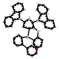 c1ccc(-c2ccccc2B2c3ccccc3Oc3c2cc(-n2c4ccccc4c4ccccc42)nc3-n2c3ccccc3c3ccccc32)cc1